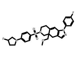 COCC12Cc3cnn(-c4ccc(F)cc4)c3C=C1CCN(S(=O)(=O)c1ccc(N3CCC(F)C3)cc1)C2